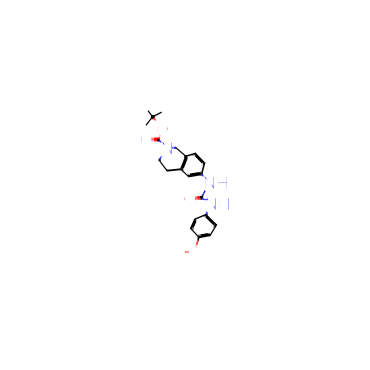 COc1ccc(NC(=O)Nc2ccc3c(c2)CCN(C(=O)OC(C)(C)C)C3)cc1